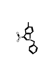 Cc1ccc2c(c1)c([N+](=O)[O-])cn2Cc1ccccc1